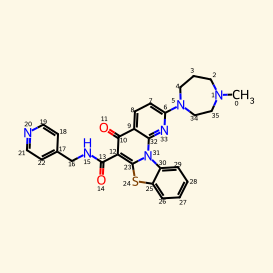 CN1CCCN(c2ccc3c(=O)c(C(=O)NCc4ccncc4)c4sc5ccccc5n4c3n2)CC1